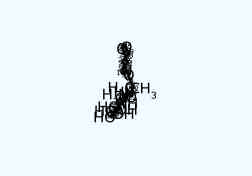 CC(C)(CCCCOc1cccc(-c2ccc(-c3ccc4c(c3)OCO4)cc2)n1)CNC(=O)C(N)CC(=O)NCC(O)C(O)C(O)C(O)CO